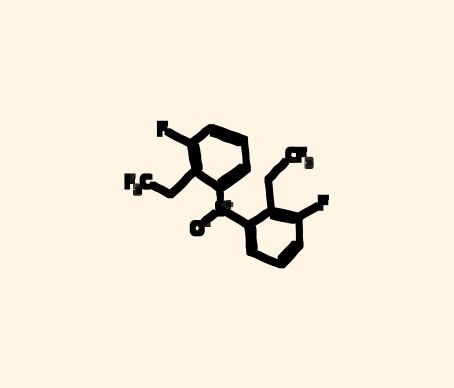 [O-][S+](c1cccc(F)c1CC(F)(F)F)c1cccc(F)c1CC(F)(F)F